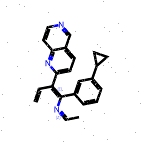 C=C/C(=C(\N=C/C)c1cccc(C2CC2)c1)c1ccc2cnccc2n1